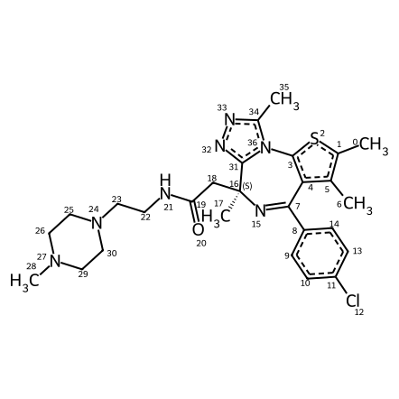 Cc1sc2c(c1C)C(c1ccc(Cl)cc1)=N[C@@](C)(CC(=O)NCCN1CCN(C)CC1)c1nnc(C)n1-2